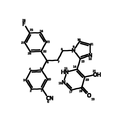 N#Cc1cccc(C(CCn2ccnc2-c2[nH]ncc(=O)c2O)c2ccc(F)cc2)c1